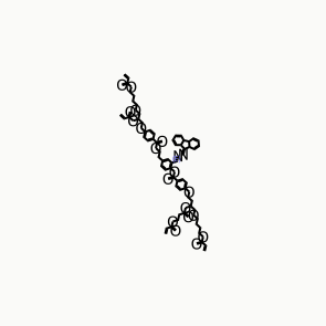 C=CC(=O)OCCCCOCC(COc1ccc(C(=O)OCCc2ccc(OC(=O)c3ccc(OCCC(COCCCCOC(=O)C=C)OC(=O)CCOC(=O)C=C)cc3)c(/C=N/N=C3C4C=CC=CC4C4C=CC=CC34)c2)cc1)OC(=O)C=C